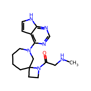 CNCC(=O)N1CCC12CCCCN(c1ncnc3[nH]ccc13)C2